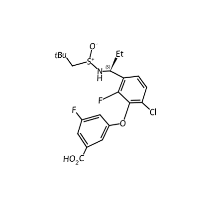 CC[C@H](N[S+]([O-])CC(C)(C)C)c1ccc(Cl)c(Oc2cc(F)cc(C(=O)O)c2)c1F